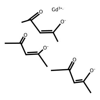 CC(=O)C=C(C)[O-].CC(=O)C=C(C)[O-].CC(=O)C=C(C)[O-].[Gd+3]